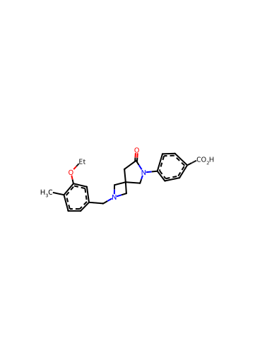 CCOc1cc(CN2CC3(CC(=O)N(c4ccc(C(=O)O)cc4)C3)C2)ccc1C